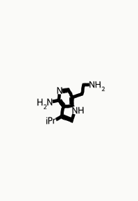 CC(C)c1c[nH]c2c(CCN)cnc(N)c12